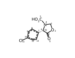 O=C1OCN(C(=O)O)[C@H]1c1ccc(Cl)cc1